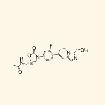 CC(=O)NC[C@H]1CN(c2ccc(C3=Cc4cnc(CO)n4CC3)c(F)c2)C(=O)O1